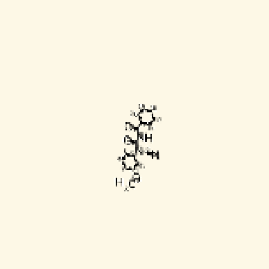 COc1cccc(N(C#N)C(=O)NC(=O)c2ccccc2)c1